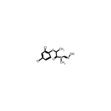 CC(Sc1ccc(Cl)cc1Cl)C(=O)N(C)C=NO